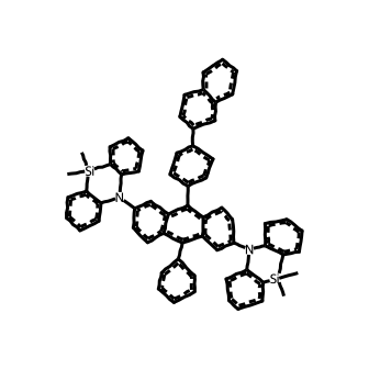 C[Si]1(C)c2ccccc2N(c2ccc3c(-c4ccc(-c5ccc6ccccc6c5)cc4)c4cc(N5c6ccccc6[Si](C)(C)c6ccccc65)ccc4c(-c4ccccc4)c3c2)c2ccccc21